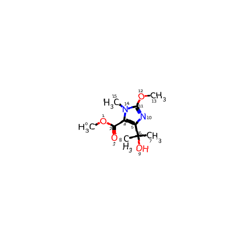 COC(=O)c1c(C(C)(C)O)nc(OC)n1C